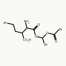 CC(C)CCC(C(=O)O)C(N)C(=O)OC(OC(=O)C(C)C)C(C)C